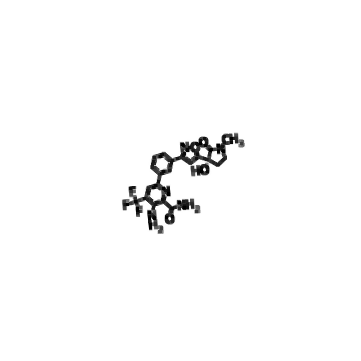 CN1CC[C@@](O)(c2cc(-c3cccc(-c4cc(C(F)(F)F)c(N)c(C(N)=O)n4)c3)no2)C1=O